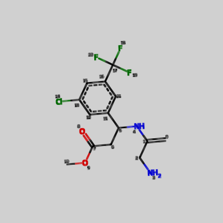 C=C(CN)NC(CC(=O)OC)c1cc(Cl)cc(C(F)(F)F)c1